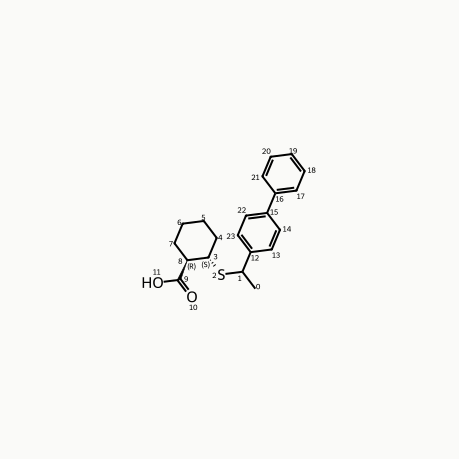 CC(S[C@H]1CCCC[C@@H]1C(=O)O)c1ccc(-c2ccccc2)cc1